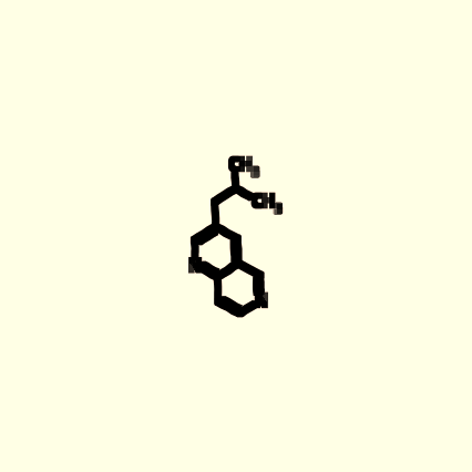 CC(C)Cc1cnc2ccncc2c1